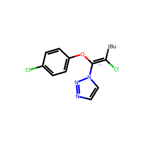 CC(C)(C)/C(Cl)=C(\Oc1ccc(Cl)cc1)n1ccnn1